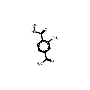 CC(=O)c1ccc(C(=O)NO)c(C)c1